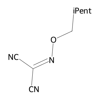 CCCC(C)CON=C(C#N)C#N